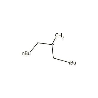 CCCCC[C](C)CC(C)CC